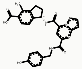 Cc1c(C(=O)O)ccc2c1CC[C@@H]2NC(=O)c1cc(C(=O)NCc2ccc(O)cc2)nc2ccnn12